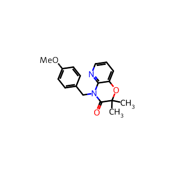 COc1ccc(CN2C(=O)C(C)(C)Oc3cccnc32)cc1